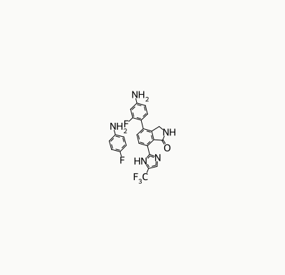 Nc1ccc(-c2ccc(-c3ncc(C(F)(F)F)[nH]3)c3c2CNC3=O)c(F)c1.Nc1ccc(F)cc1